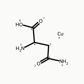 NC(=O)CC(N)C(=O)O.[Cu]